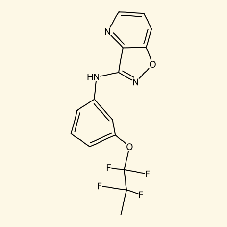 CC(F)(F)C(F)(F)Oc1cccc(Nc2noc3cccnc23)c1